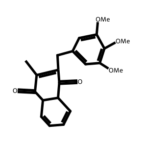 COc1cc(CC2=C(C)C(=O)C3C=CC=CC3C2=O)cc(OC)c1OC